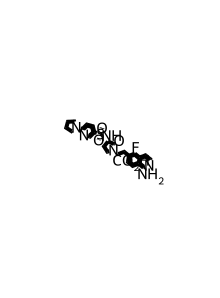 Nc1nccc2c(F)c(CC(C(=O)O)N3CCC(NS(=O)(=O)c4ccc(N5CCCC5)nc4)C3=O)ccc12